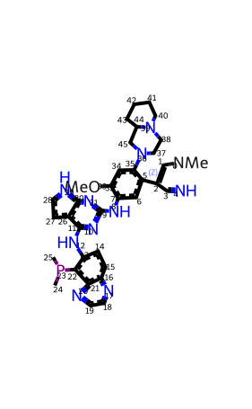 CN/C=C(\C=N)c1cc(Nc2nc(Nc3ccc4nccnc4c3P(C)C)c3cc[nH]c3n2)c(OC)cc1N1CCN2CCCCC2C1